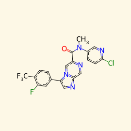 CN(C(=O)c1cn2c(-c3ccc(C(F)(F)F)c(F)c3)cnc2cn1)c1ccc(Cl)nc1